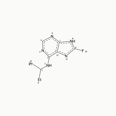 CCC(Nc1ncnc2[nH]c(F)nc12)C(C)C